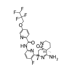 C[C@@]12CCCN=S1(=O)C[C@@](C)(c1nc(NC(=O)c3ccc(OCC(F)(F)C(F)F)cn3)ccc1F)N=C2N